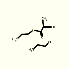 C=C(C)C(=O)OCCC.CCCN